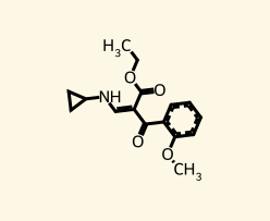 CCOC(=O)C(=CNC1CC1)C(=O)c1ccccc1OC